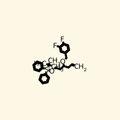 C=CCC(CCO[Si](c1ccccc1)(c1ccccc1)C(C)(C)C)OCc1ccc(F)c(F)c1